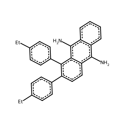 CCc1ccc(-c2ccc3c(N)c4ccccc4c(N)c3c2-c2ccc(CC)cc2)cc1